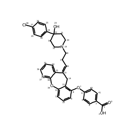 O=C(O)c1ccc(Oc2cccc3c2C/C(=C/CCN2CCC(O)(c4ccc(Cl)cc4)CC2)c2cccnc2O3)cc1